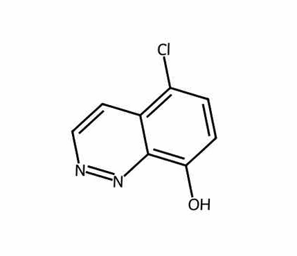 Oc1ccc(Cl)c2ccnnc12